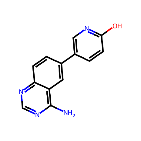 Nc1ncnc2ccc(-c3ccc(O)nc3)cc12